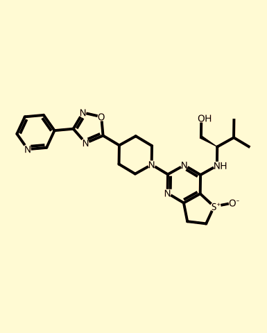 CC(C)[C@H](CO)Nc1nc(N2CCC(c3nc(-c4cccnc4)no3)CC2)nc2c1[S+]([O-])CC2